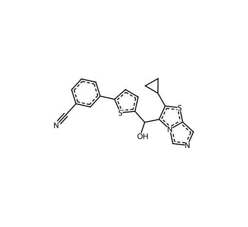 N#Cc1cccc(-c2ccc(C(O)c3c(C4CC4)sc4cncn34)s2)c1